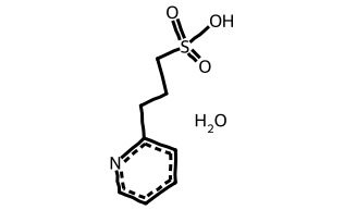 O.O=S(=O)(O)CCCc1ccccn1